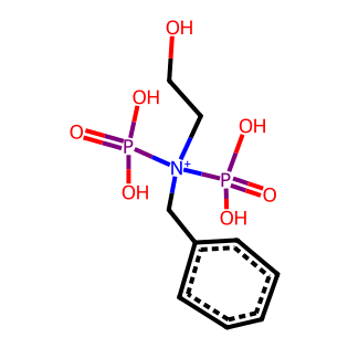 O=P(O)(O)[N+](CCO)(Cc1ccccc1)P(=O)(O)O